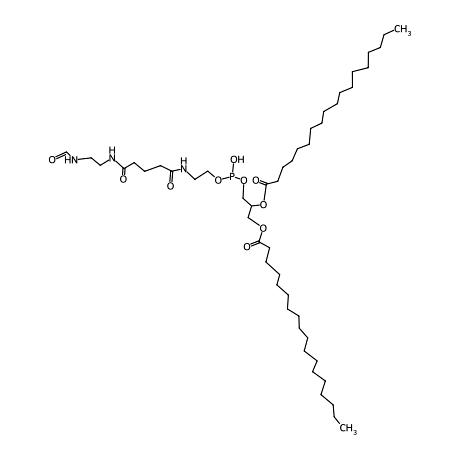 CCCCCCCCCCCCCCCCCC(=O)OCC(COP(O)OCCNC(=O)CCCC(=O)NCCNC=O)OC(=O)CCCCCCCCCCCCCCCCC